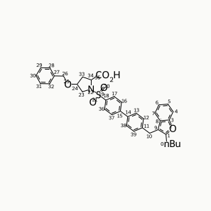 CCCCc1oc2ccccc2c1Cc1ccc(-c2ccc(S(=O)(=O)N3CC(OCc4ccccc4)CC3C(=O)O)cc2)cc1